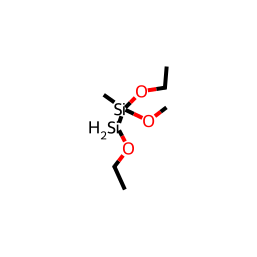 CCO[SiH2][Si](C)(OC)OCC